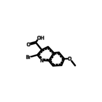 COc1ccc2nc(Br)c(C(=O)O)cc2c1